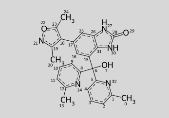 Cc1cccc(C(O)(c2cccc(C)n2)c2cc(-c3c(C)noc3C)cc3[nH]c(=O)[nH]c23)n1